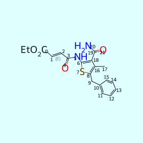 CCOC(=O)/C=C/C(=O)Nc1sc(Cc2ccccc2)c(C)c1C(N)=O